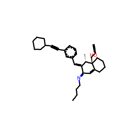 C=CC[C@@]12C(=CC(=N\CCCC)/C(=C/c3cccc(C#CC4CCCCC4)c3)[C@@H]1C)CCC[C@@H]2O